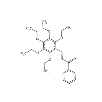 CCOc1c(C=CC(=O)c2ccccc2)c(OCC)c(OCC)c(OCC)c1OCC